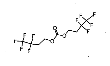 O=C(OCCC(F)(F)C(F)(F)F)OCCC(F)(F)C(F)(F)F